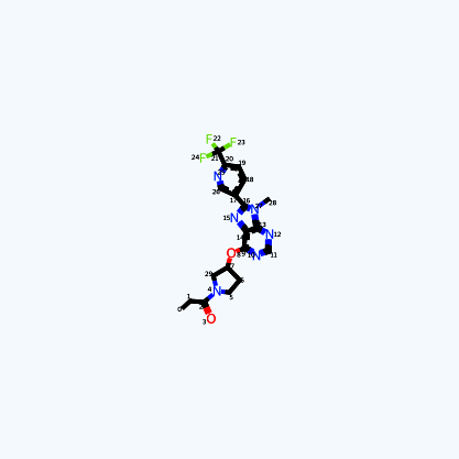 CCC(=O)N1CCC(Oc2ncnc3c2nc(-c2ccc(C(F)(F)F)nc2)n3C)C1